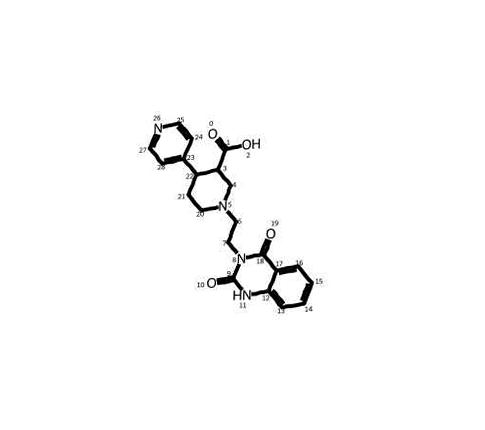 O=C(O)C1CN(CCn2c(=O)[nH]c3ccccc3c2=O)CCC1c1ccncc1